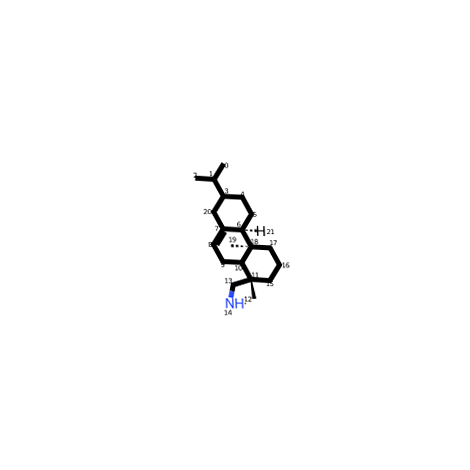 CC(C)C1CC[C@@H]2C(=CCC3[C@@](C)(C[NH])CCC[C@@]32C)C1